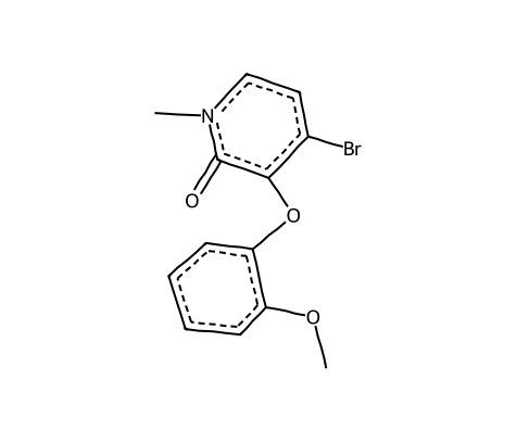 COc1ccccc1Oc1c(Br)ccn(C)c1=O